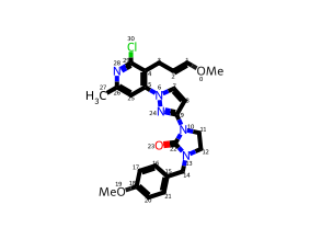 CO/C=C/Cc1c(-n2ccc(N3CCN(Cc4ccc(OC)cc4)C3=O)n2)cc(C)nc1Cl